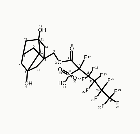 O=C(OCC12CC3CC(O)(CC(O)(C3)C1)C2)C(F)(C(F)(F)C(F)(F)C(F)(F)C(F)(F)F)S(=O)(=O)O